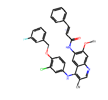 CCOc1cc2ncc(C#N)c(Nc3ccc(OCc4cccc(F)c4)c(Cl)c3)c2cc1NC(=O)/C=C/c1ccccc1